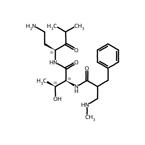 CNCC(Cc1ccccc1)C(=O)N[C@H](C(=O)N[C@@H](CCN)C(=O)C(C)C)[C@H](C)O